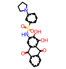 O=C1c2ccccc2C(=O)c2c1cc(NS(=O)(=O)c1cccc(N3CCCC3)c1)c(O)c2O